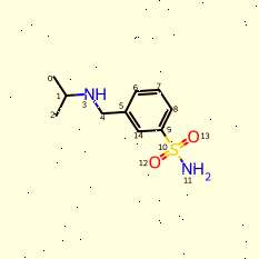 CC(C)NCc1cccc(S(N)(=O)=O)c1